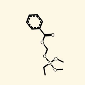 CC[Si](OC)(OC)OCOC(=O)c1ccccc1